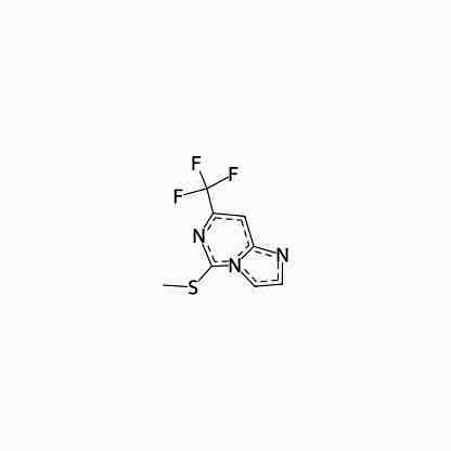 CSc1nc(C(F)(F)F)cc2nccn12